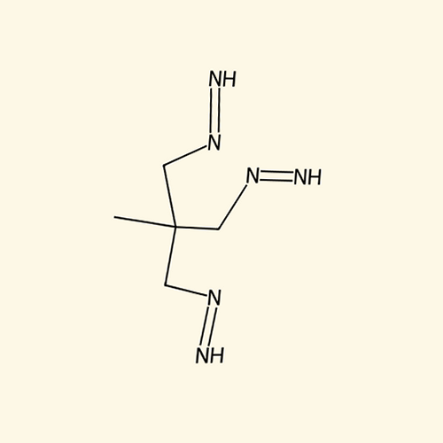 CC(CN=N)(CN=N)CN=N